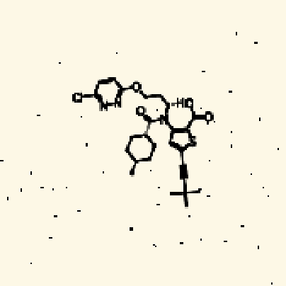 C[C@@H](CCOc1ccc(Cl)nn1)N(c1cc(C#CC(C)(C)C)sc1C(=O)O)C(=O)[C@H]1CC[C@H](C)CC1